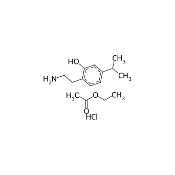 CC(C)c1ccc(CCN)c(O)c1.CCOC(C)=O.Cl